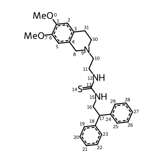 COc1cc2c(cc1OC)CN(CCNC(=S)NCC(c1ccccc1)c1ccccc1)CC2